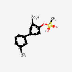 CS(=O)(=O)Oc1ccc(-c2cccc([N+](=O)[O-])c2)cc1C(=O)O